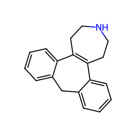 c1ccc2c(c1)Cc1ccccc1C1=C2CCNCC1